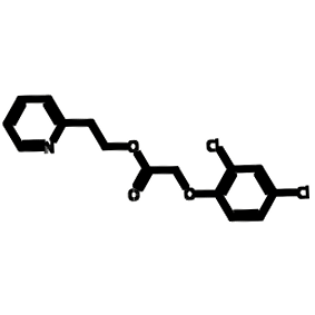 O=C(COc1ccc(Cl)cc1Cl)OCCc1ccccn1